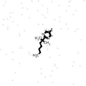 CCCCCC(C)(C)c1ncc(F)cn1